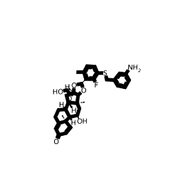 Cc1ccc(SCc2cccc(N)c2)c(F)c1[C@H]1O[C@@H]2C[C@H]3[C@@H]4CCC5=CC(=O)C=C[C@]5(C)[C@H]4[C@@H](O)C[C@]3(C)[C@]2(C(=O)CO)O1